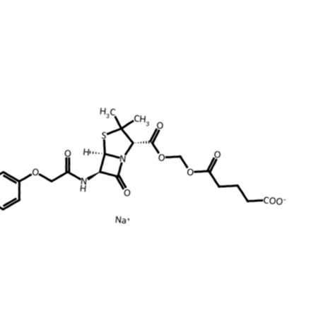 CC1(C)S[C@@H]2[C@H](NC(=O)COc3ccccc3)C(=O)N2[C@H]1C(=O)OCOC(=O)CCCC(=O)[O-].[Na+]